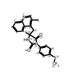 Cc1cnc2ccccc2c1CC1(C)NC(=O)N(c2ccc(SC(F)(F)F)cc2)C1=O